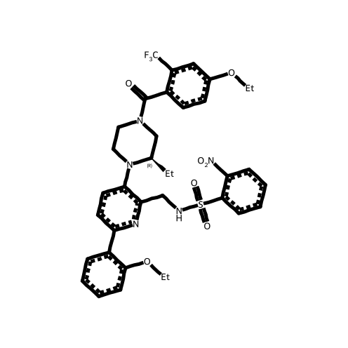 CCOc1ccc(C(=O)N2CCN(c3ccc(-c4ccccc4OCC)nc3CNS(=O)(=O)c3ccccc3[N+](=O)[O-])[C@H](CC)C2)c(C(F)(F)F)c1